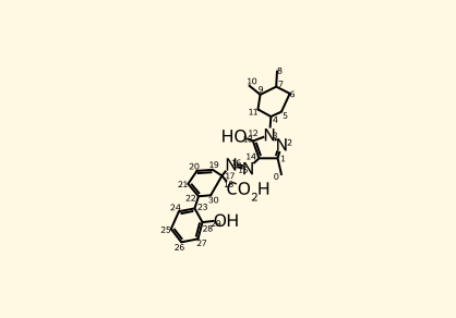 Cc1nn(C2CCC(C)C(C)C2)c(O)c1N=NC1(C(=O)O)C=CC=C(c2ccccc2O)C1